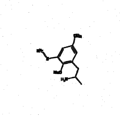 CCCSc1cc(OC)cc(CC(C)N)c1OC